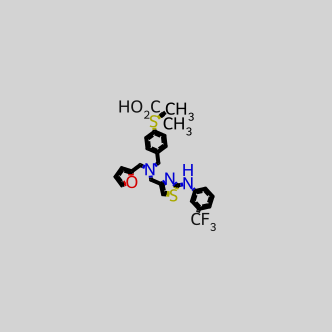 CC(C)(Sc1ccc(CN(Cc2csc(Nc3cccc(C(F)(F)F)c3)n2)Cc2ccco2)cc1)C(=O)O